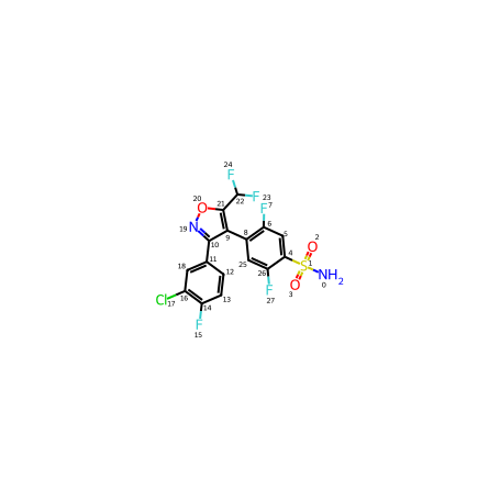 NS(=O)(=O)c1cc(F)c(-c2c(-c3ccc(F)c(Cl)c3)noc2C(F)F)cc1F